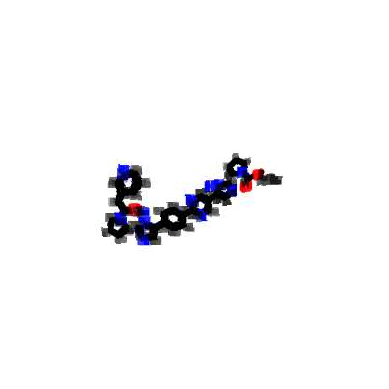 CC(C)(C)OC(=O)N1CCC[C@H]1c1ncc(-c2cnc(-c3ccc(-c4cnc([C@@H]5CCCN5C(=O)Cc5cccnc5)[nH]4)cc3)nc2)[nH]1